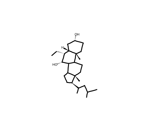 CC[C@H]1[C@@H](O)C2C3CC[C@H](C(C)CC(C)C)[C@@]3(C)CCC2[C@@]2(C)CC[C@@H](O)C[C@@H]12